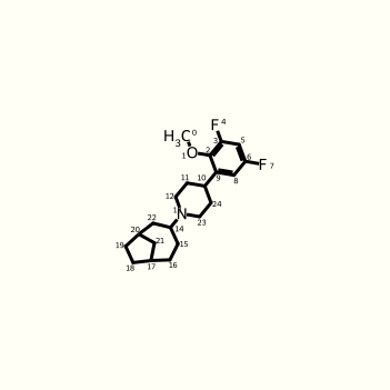 COc1c(F)cc(F)cc1C1CCN(C2CCC3CCC(C3)C2)CC1